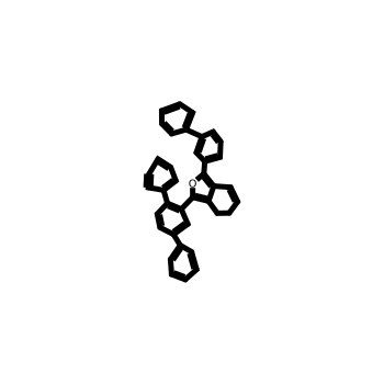 c1cccc(-c2ccc(-c3ccccc3)cc2-c2oc(-c3cccc(-c4ccccc4)c3)c3c2CCC=C3)c#1